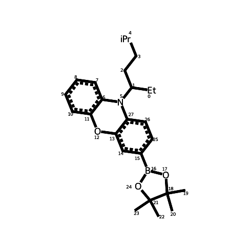 CCC(CCC(C)C)N1c2ccccc2Oc2cc(B3OC(C)(C)C(C)(C)O3)ccc21